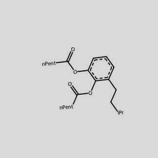 CCCCCC(=O)Oc1cccc(CCC(C)C)c1OC(=O)CCCCC